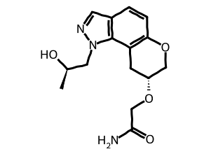 C[C@@H](O)Cn1ncc2ccc3c(c21)C[C@@H](OCC(N)=O)CO3